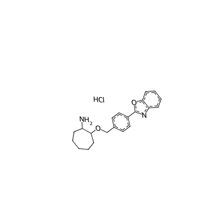 Cl.NC1CCCCCC1OCc1ccc(-c2nc3ccccc3o2)cc1